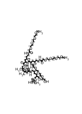 CC(C)(CNC(=O)C(CCCCNC(=O)COCCOCCOCCON)NC(=O)C(CCCCNC(=O)COCCOCCOCCON)NC(=O)COCCOCCOCCO)CC(C)(C)CC(=O)NCCCCC(CO)COP(C)(=O)O